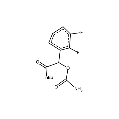 CCCCC(=O)C(OC(N)=O)c1cccc(F)c1F